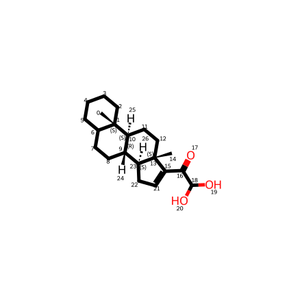 C[C@]12CCCCC1CC[C@@H]1[C@@H]2CC[C@]2(C)C(C(=O)C(O)O)=CC[C@@H]12